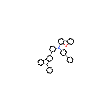 c1ccc(-c2ccc(N(c3cccc(-c4ccc5c(c4)-c4ccccc4C5c4ccccc4)c3)c3cccc4c3oc3ccccc34)cc2)cc1